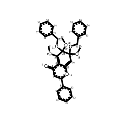 COC1=c2c(=O)cc(-c3ccccc3)oc2=CC(OC)(OCc2ccccc2)C1(OC)OCc1ccccc1